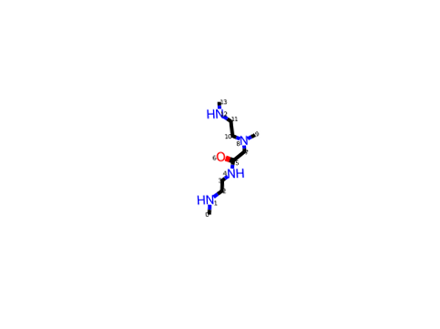 CNCCNC(=O)CN(C)CCNC